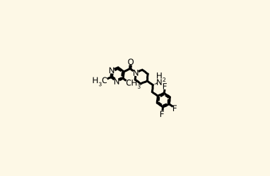 Cc1ncc(C(=O)N2CCC([C@H](N)Cc3cc(F)c(F)cc3F)CC2)c(C)n1